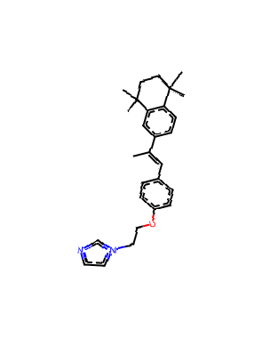 CC(=Cc1ccc(OCCn2ccnc2)cc1)c1ccc2c(c1)C(C)(C)CCC2(C)C